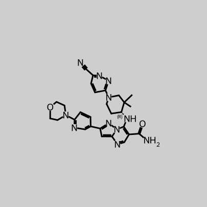 CC1(C)CN(c2ccc(C#N)nn2)CC[C@H]1Nc1c(C(N)=O)cnc2cc(-c3ccc(N4CCOCC4)nc3)nn12